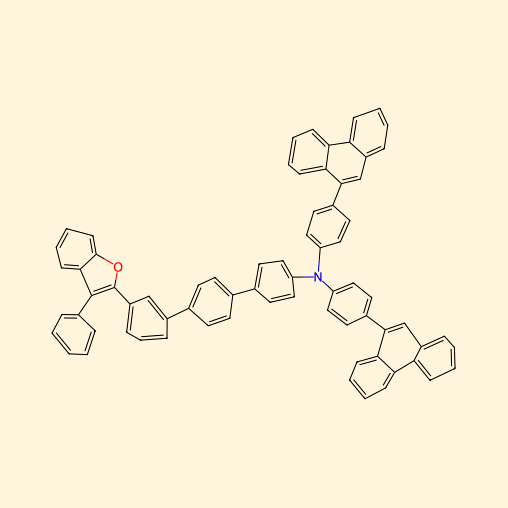 c1ccc(-c2c(-c3cccc(-c4ccc(-c5ccc(N(c6ccc(-c7cc8ccccc8c8ccccc78)cc6)c6ccc(-c7cc8ccccc8c8ccccc78)cc6)cc5)cc4)c3)oc3ccccc23)cc1